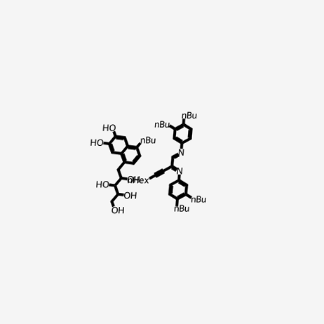 CCCCCCC#CC(C=Nc1ccc(CCCC)c(CCCC)c1)=Nc1ccc(CCCC)c(CCCC)c1.CCCCc1ccc(CC(O)C(O)C(O)CO)c2cc(O)c(O)cc12